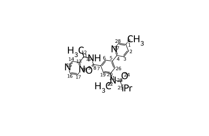 Cc1ccc(-c2cc(C(=O)NC(C)c3cnccn3)cc(N(C)C(=O)C(C)C)c2)nc1